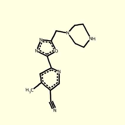 Cc1cc(-c2nnc(CN3CCNCC3)o2)ncc1C#N